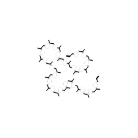 C=CCOCC(C)OCC(C)OCC(C)OCC(C)OCC(C)OCC(C)OCC(C)OCC(C)OCC(C)OCC(C)OCC(C)OCC(C)OCC(C)OCC(C)OCC(C)OCC(C)OCC(C)OCC(C)OCC(C)OCC(C)OCC=C